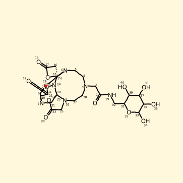 O=C(CN1CCN2CCN3CC(=O)ON([C@]24CC(=O)O4)[C@@]2(C3)OC(=O)CN2CC1)NCC1OC(O)C(O)C(O)C1O